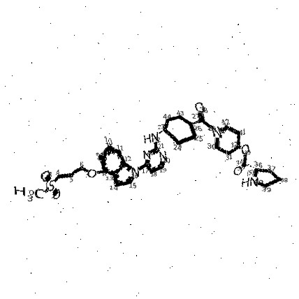 CS(=O)(=O)CCCOc1cccc2c1ccn2-c1ccnc(N[C@H]2CC[C@H](C(=O)N3CCC(OC(=O)[C@@H]4CCCN4)CC3)CC2)n1